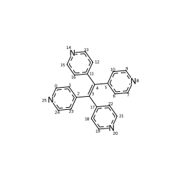 c1cc(C(=C(c2ccncc2)c2ccncc2)c2ccncc2)ccn1